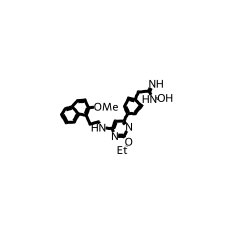 CCOc1nc(NCCc2c(OC)ccc3ccccc23)cc(-c2ccc(CC(=N)NO)cc2)n1